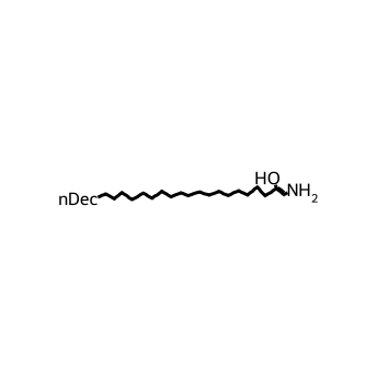 CCCCCCCCCCCCCCCCCCCCCCCCCCCCC(O)=CN